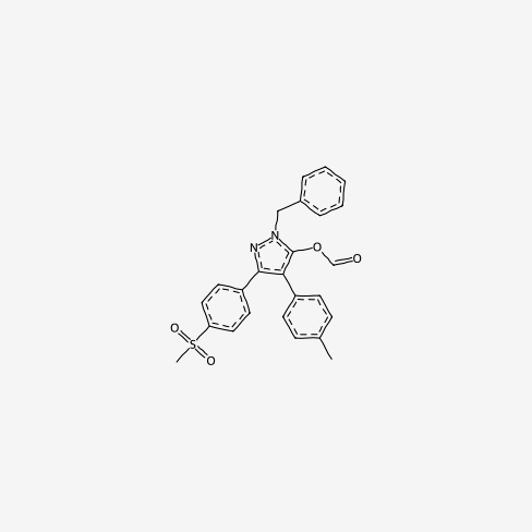 Cc1ccc(-c2c(-c3ccc(S(C)(=O)=O)cc3)nn(Cc3ccccc3)c2OC=O)cc1